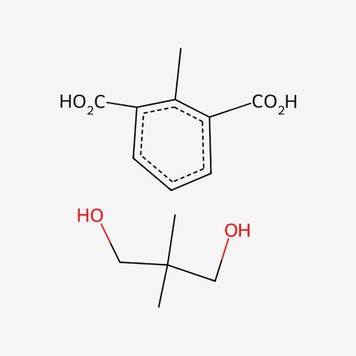 CC(C)(CO)CO.Cc1c(C(=O)O)cccc1C(=O)O